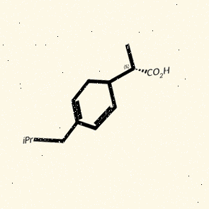 CC(C)CC1=CCC([C@H](C)C(=O)O)C=C1